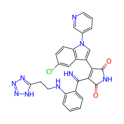 N=C(C1=C(c2cn(-c3cccnc3)c3ccc(Cl)cc23)C(=O)NC1=O)c1ccccc1NCCc1nnn[nH]1